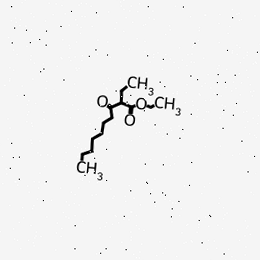 CCCCCCCC(=O)C(CC)C(=O)OCC